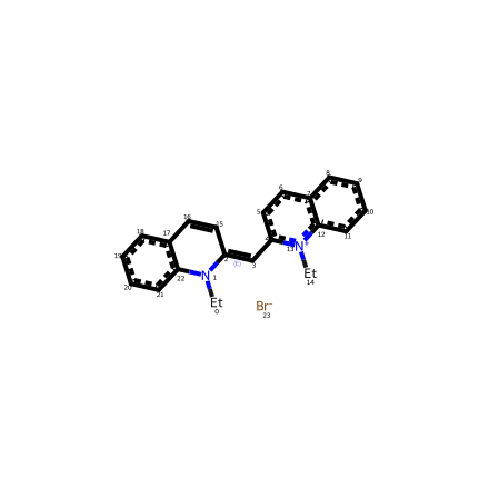 CCN1/C(=C/c2ccc3ccccc3[n+]2CC)C=Cc2ccccc21.[Br-]